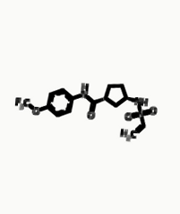 C=CS(=O)(=O)N[C@@H]1CC[C@H](C(=O)Nc2ccc(OC(F)(F)F)cc2)C1